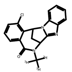 [2H]C([2H])([2H])N1C(=O)c2cccc(Cl)c2C2CC1c1nc3ccccc3n12